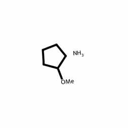 COC1CCCC1.N